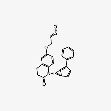 O=S=CCOc1ccc2c(c1)CCC(=O)N2.c1ccc(-c2ccc3cc2-3)cc1